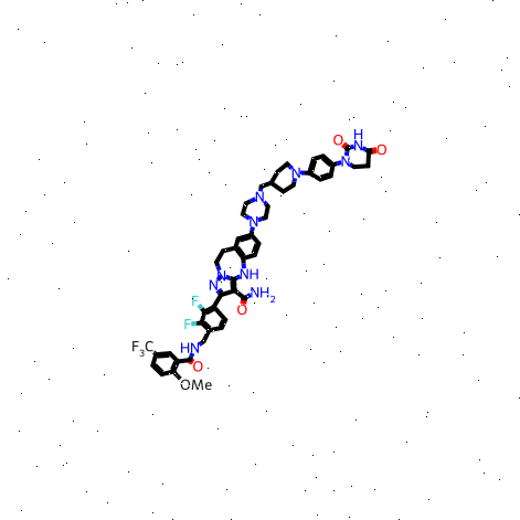 COc1ccc(C(F)(F)F)cc1C(=O)NCc1ccc(-c2nn3c(c2C(N)=O)Nc2ccc(N4CCN(CC5CCN(c6ccc(N7CCC(=O)NC7=O)cc6)CC5)CC4)cc2CC3)c(F)c1F